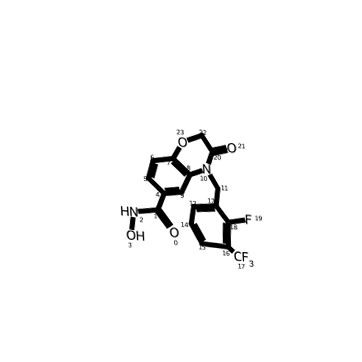 O=C(NO)c1ccc2c(c1)N(Cc1cccc(C(F)(F)F)c1F)C(=O)CO2